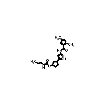 CCCNC(=O)OC1CCC(c2cc(NC(=O)c3cc(C)nn3C)n[nH]2)C1